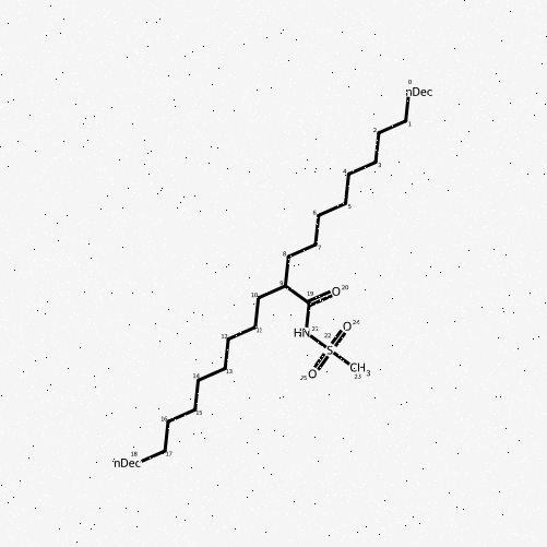 CCCCCCCCCCCCCCCCCCC(CCCCCCCCCCCCCCCCCC)C(=O)NS(C)(=O)=O